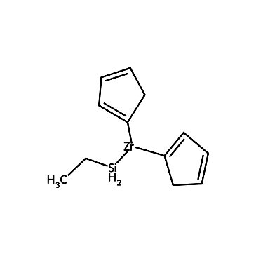 CC[SiH2][Zr]([C]1=CC=CC1)[C]1=CC=CC1